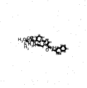 CC#CCn1c(C(=O)NCc2cnc3ccccc3c2)cnc1N1CCCC(NC(=O)OC(C)(C)C)C1